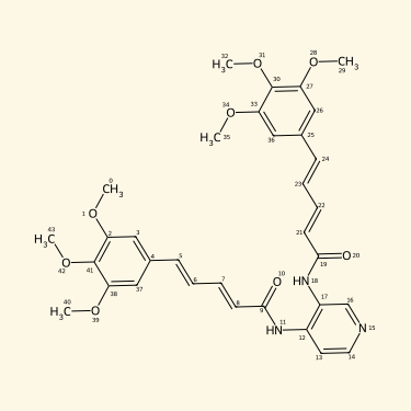 COc1cc(/C=C/C=C/C(=O)Nc2ccncc2NC(=O)/C=C/C=C/c2cc(OC)c(OC)c(OC)c2)cc(OC)c1OC